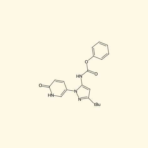 CC(C)(C)c1cc(NC(=O)Oc2ccccc2)n(-c2ccc(=O)[nH]c2)n1